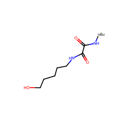 CCCCNC(=O)C(=O)NCCCCCO